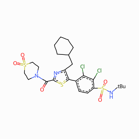 CC(C)(C)NS(=O)(=O)c1ccc(-c2sc(C(=O)N3CCS(=O)(=O)CC3)nc2CC2CCCCC2)c(Cl)c1Cl